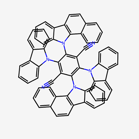 N#Cc1c(-n2c3ccccc3c3ccccc32)c(-n2c3ccccc3c3ccc4ccccc4c32)c(C#N)c(-n2c3ccccc3c3ccccc32)c1-n1c2ccccc2c2ccc3ccccc3c21